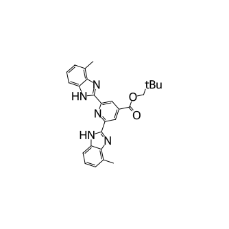 Cc1cccc2[nH]c(-c3cc(C(=O)OCC(C)(C)C)cc(-c4nc5c(C)cccc5[nH]4)n3)nc12